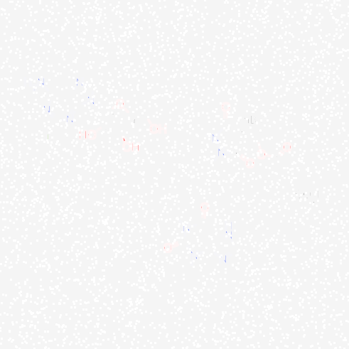 CCCCC1(COC(=O)CCC(=O)O)C(=O)N(c2ccccc2)N(c2ccccc2)C1=O.Cn1c(=O)c2[nH]cnc2n(C)c1=O.Nc1nc(F)nc2c1ncn2[C@@H]1O[C@H](CO)[C@@H](O)[C@@H]1O